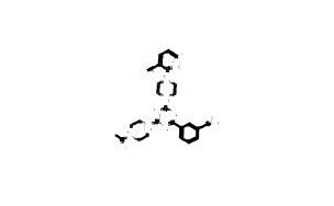 CC(=O)N1CCN(c2nc(-c3cccc(C#N)c3)nc(N3CCN(c4ncccc4C(F)(F)F)CC3)n2)CC1